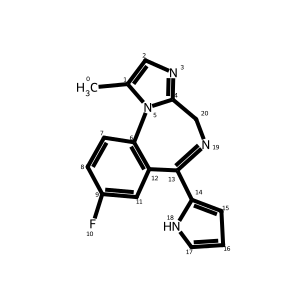 Cc1cnc2n1-c1ccc(F)cc1C(c1ccc[nH]1)=NC2